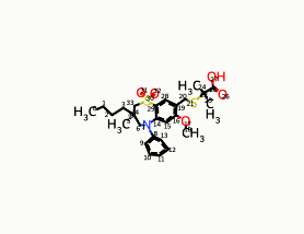 CCCC[C@]1(C)CN(c2ccccc2)c2cc(OC)c(CSC(C)(C)C(=O)O)cc2S(=O)(=O)C1